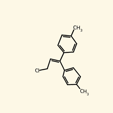 Cc1ccc(C(=CCCl)c2ccc(C)cc2)cc1